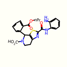 CCCOC(=O)c1ccccc1C1c2sc(C(=O)Nc3ccccc3N)nc2CCN1C(=O)O